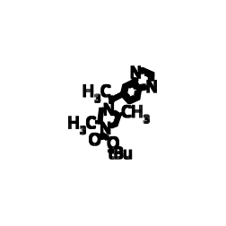 CC(c1ccc2nccnc2c1)N1C[C@H](C)N(C(=O)OC(C)(C)C)C[C@H]1C